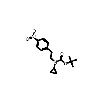 CC(C)(C)OC(=O)N(CCc1ccc([N+](=O)[O-])cc1)C1CC1